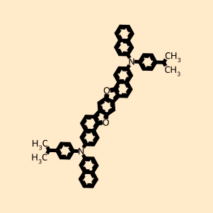 CC(C)c1ccc(N(c2ccc3ccccc3c2)c2ccc3c(ccc4c5cc6oc7c8ccc(N(c9ccc(C(C)C)cc9)c9ccc%10ccccc%10c9)cc8ccc7c6cc5oc34)c2)cc1